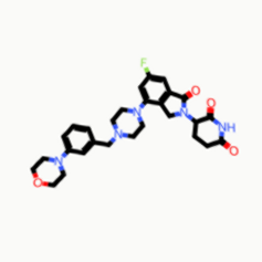 O=C1CCC(N2Cc3c(cc(F)cc3N3CCN(Cc4cccc(N5CCOCC5)c4)CC3)C2=O)C(=O)N1